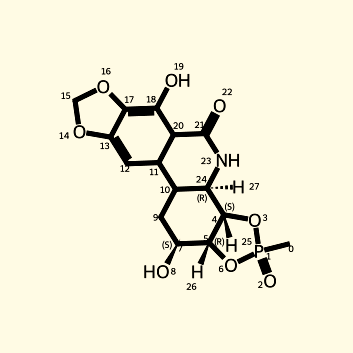 CP1(=O)O[C@@H]2[C@H](O1)[C@@H](O)CC1C3C=C4OCOC4=C(O)C3C(=O)N[C@H]12